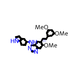 COc1cc(/C=C/c2cc3c(Nc4ccc5[nH]ccc5c4)ncnc3cc2OC)cc(OC)c1